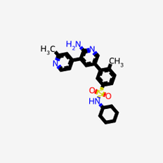 Cc1cc(-c2cc(-c3cc(S(=O)(=O)NC4CCCCC4)ccc3C)cnc2N)ccn1